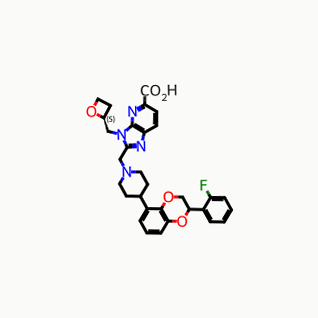 O=C(O)c1ccc2nc(CN3CCC(c4cccc5c4OCC(c4ccccc4F)O5)CC3)n(C[C@@H]3CCO3)c2n1